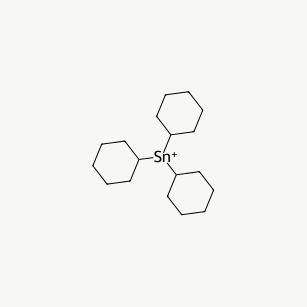 C1CC[CH]([Sn+]([CH]2CCCCC2)[CH]2CCCCC2)CC1